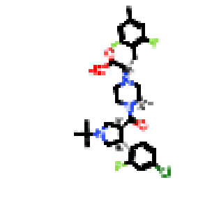 Cc1cc(F)c(C[C@@H](C(=O)O)N2CCN(C(=O)[C@@H]3CN(C(C)(C)C)C[C@H]3c3ccc(Cl)cc3F)[C@@H](C)C2)c(F)c1